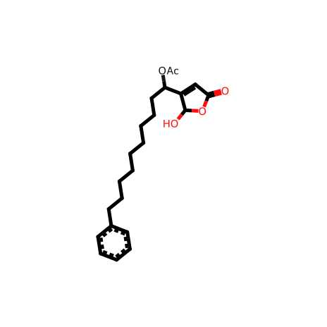 CC(=O)OC(CCCCCCCCCc1ccccc1)C1=CC(=O)OC1O